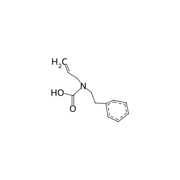 C=CCN(CCc1ccccc1)C(=O)O